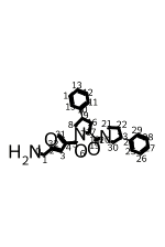 NCc1cc(C(=O)N2C[C@@H](c3ccccc3)C[C@H]2C(=O)N2CC[C@H](c3ccccc3)C2)co1